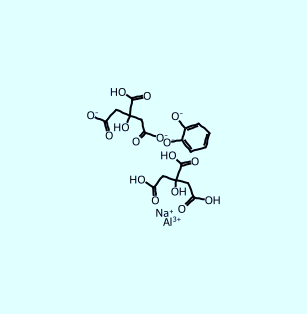 O=C(O)CC(O)(CC(=O)O)C(=O)O.O=C([O-])CC(O)(CC(=O)[O-])C(=O)O.[Al+3].[Na+].[O-]c1ccccc1[O-]